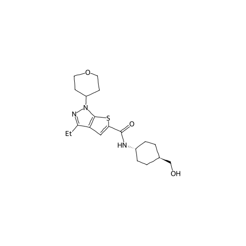 CCc1nn(C2CCOCC2)c2sc(C(=O)N[C@H]3CC[C@H](CO)CC3)cc12